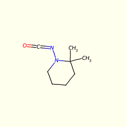 CC1(C)CCCCN1N=C=O